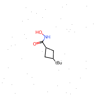 CC(C)(C)C1CC(C(=O)NO)C1